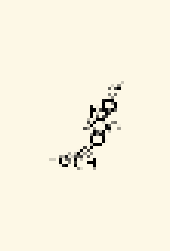 CCOc1ccc2c3c(n(C)c2c1)C(C)(C)c1cc(OC[C@H](O)CO)ccc1C3=O